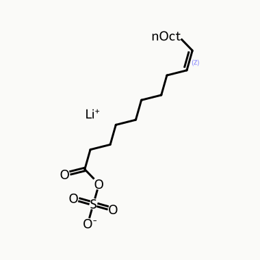 CCCCCCCC/C=C\CCCCCCCC(=O)OS(=O)(=O)[O-].[Li+]